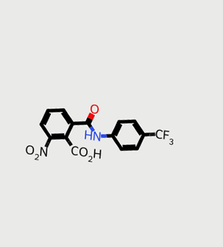 O=C(Nc1ccc(C(F)(F)F)cc1)c1cccc([N+](=O)[O-])c1C(=O)O